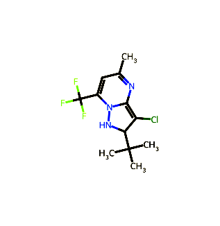 CC1=NC2=C(Cl)C(C(C)(C)C)NN2C(C(F)(F)F)=C1